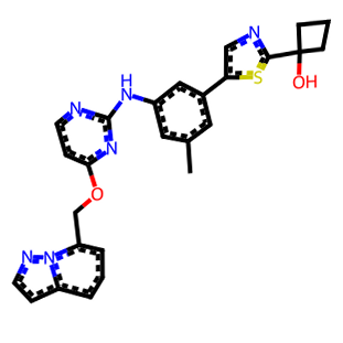 Cc1cc(Nc2nccc(OCc3cccc4ccnn34)n2)cc(-c2cnc(C3(O)CCC3)s2)c1